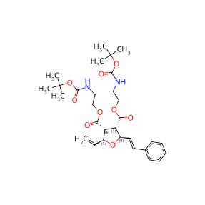 C=C[C@@H]1O[C@H](C=Cc2ccccc2)[C@@H](C(=O)OCCNC(=O)OC(C)(C)C)[C@H]1C(=O)OCCNC(=O)OC(C)(C)C